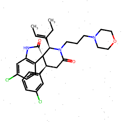 CC=C(CC)[C@H]1N(CCCN2CCOCC2)C(=O)C[C@@H](c2cccc(Cl)c2)[C@]12C(=O)Nc1cc(Cl)ccc12